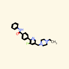 CCN1CCN(Cc2cnc(-c3ccc(C(=O)Nc4[c]cccc4)cc3)c(F)c2)CC1